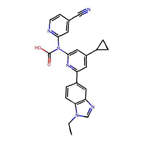 CCn1cnc2cc(-c3cc(C4CC4)cc(N(C(=O)O)c4cc(C#N)ccn4)n3)ccc21